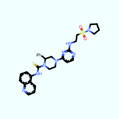 CC(C)C1CN(c2ccnc(NCCS(=O)(=O)N3CCCC3)n2)CCN1C(=S)Nc1cccc2ncccc12